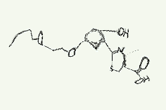 CCCOCCOc1ccc(O)c(C2=N[C@@](C)(C(=O)O)CS2)c1